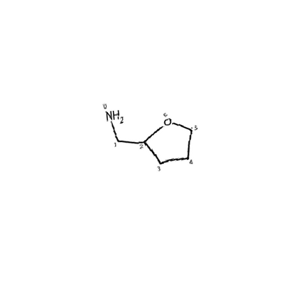 NCC1CC[CH]O1